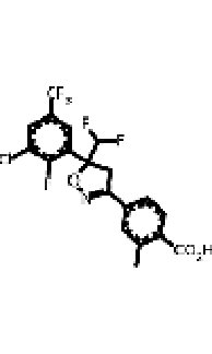 Cc1cc(C2=NOC(c3cc(C(F)(F)F)cc(Cl)c3F)(C(F)F)C2)ccc1C(=O)O